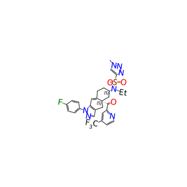 CCN([C@H]1CCC2=Cc3c(cnn3-c3ccc(F)cc3)C[C@]2(C(=O)c2cc(C(F)(F)F)ccn2)C1)S(=O)(=O)c1cn(C)nn1